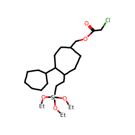 CCO[Si](CCC1CCC(COC(=O)CCl)CCC1C1CCCCCC1)(OCC)OCC